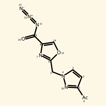 CC(=O)c1ccn(Cc2nc(C(=O)N=[N+]=[N-])co2)n1